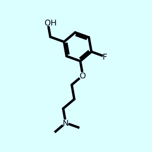 CN(C)CCCOc1cc(CO)ccc1F